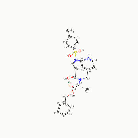 Cc1ccc(S(=O)(=O)n2cc3c4c(ccnc42)CN([C@@H](C(=O)OCc2ccccc2)C(C)(C)C)C3=O)cc1